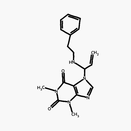 C=CC(NCCc1ccccc1)n1cnc2c1c(=O)n(C)c(=O)n2C